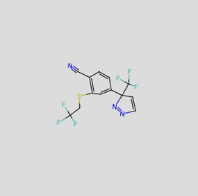 N#Cc1ccc(C2(C(F)(F)F)C=CN=N2)cc1SCC(F)(F)F